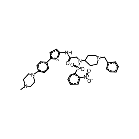 CN1CCN(c2ccc(-c3ccc(NC(=O)CN(C4CCN(Cc5ccccc5)CC4)S(=O)(=O)c4ccccc4[N+](=O)[O-])s3)cc2)CC1